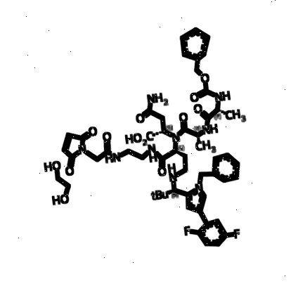 C[C@@H](NC(=O)OCc1ccccc1)C(=O)N[C@H](C)C(=O)N([C@@H](CC(N)=O)C(=O)O)[C@@H](CCN[C@@H](c1cc(-c2cc(F)ccc2F)cn1Cc1ccccc1)C(C)(C)C)C(=O)NCCNC(=O)CN1C(=O)C=CC1=O.OCCO